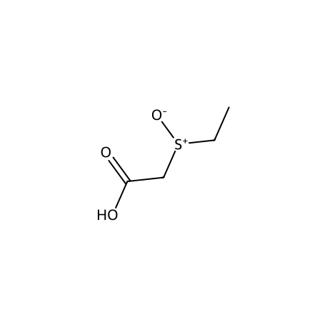 CC[S+]([O-])CC(=O)O